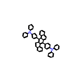 c1ccc(N(c2ccccc2)c2ccc(-c3c4ccc5ccccc5c4c(-c4ccc(N(c5ccccc5)c5ccccc5)cc4)c4ccc5ccccc5c34)cc2)cc1